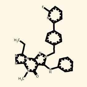 CCc1nnc2n(C)c(=O)c3c(Nc4ccccc4)n(Cc4ccc(-c5cccc(F)n5)cc4)nc3n12